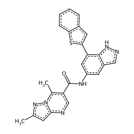 Cc1cc2ncc(C(=O)Nc3cc(-c4cc5ccccc5s4)c4[nH]ncc4c3)c(C)n2n1